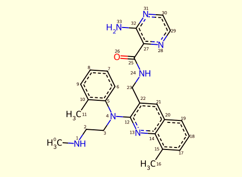 CNCCN(c1ccccc1C)c1nc2c(C)cccc2cc1CNC(=O)c1nccnc1N